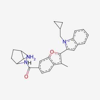 Cc1c(-c2cc3ccccc3n2CC2CC2)oc2cc(C(=O)N3CC4CCC3[C@@H]4N)ccc12